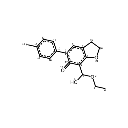 CCOC(O)c1c2c(cn(-c3ccc(F)cc3)c1=O)CCO2